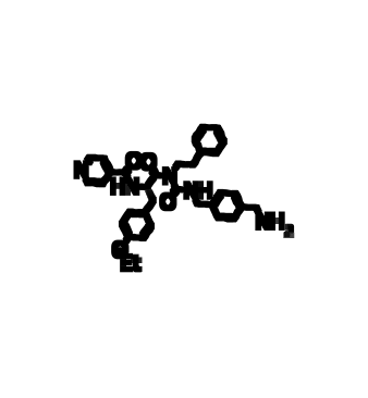 CCOc1ccc(C[C@@H](NC(=O)c2ccncc2)C(=O)N(CCc2ccccc2)C(=O)NCc2ccc(CN)cc2)cc1